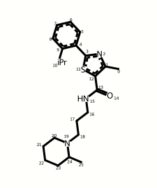 Cc1nc(-c2ccccc2C(C)C)sc1C(=O)NCCCN1CCCCC1C